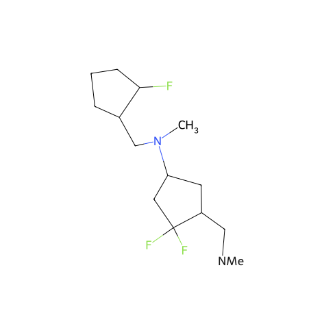 CNCC1CC(N(C)CC2CCCC2F)CC1(F)F